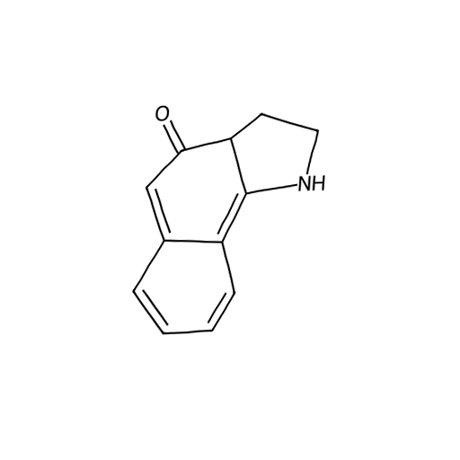 O=C1C=c2ccccc2=C2NCCC12